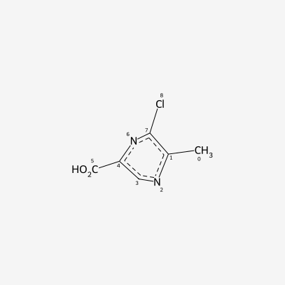 Cc1ncc(C(=O)O)nc1Cl